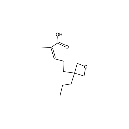 CCCC1(CCC=C(C)C(=O)O)COC1